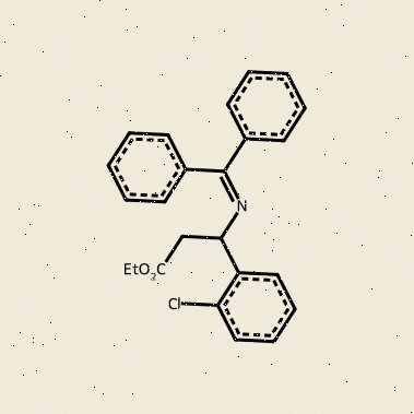 CCOC(=O)CC(N=C(c1ccccc1)c1ccccc1)c1ccccc1Cl